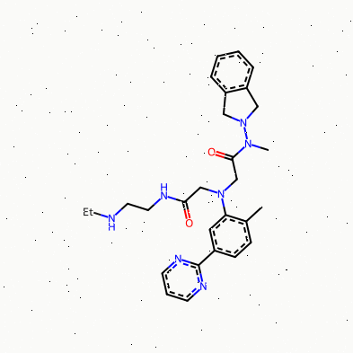 CCNCCNC(=O)CN(CC(=O)N(C)N1Cc2ccccc2C1)c1cc(-c2ncccn2)ccc1C